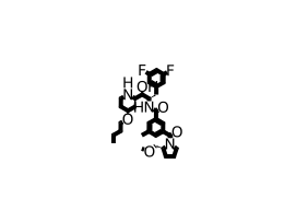 CCCCO[C@H]1CCN[C@@H]([C@@H](O)[C@H](Cc2cc(F)cc(F)c2)NC(=O)c2cc(C)cc(C(=O)N3CCC[C@@H]3COC)c2)C1